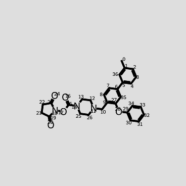 Cc1cccc(-c2ccc(CN3CCN(C(=O)ON4C(=O)CCC4=O)CC3)c(Oc3ccccc3)c2)c1